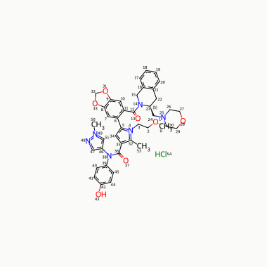 COCCn1c(-c2cc3c(cc2C(=O)N2Cc4ccccc4C[C@H]2CN2CCOCC2)OCO3)cc(C(=O)N(c2ccc(O)cc2)c2cnn(C)c2)c1C.Cl